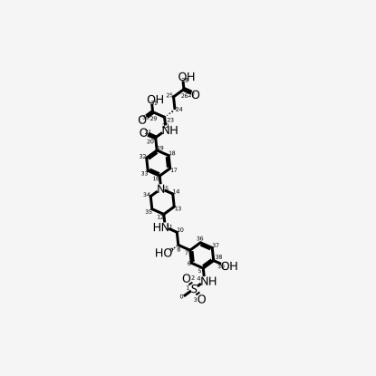 CS(=O)(=O)Nc1cc([C@H](O)CNC2CCN(c3ccc(C(=O)N[C@@H](CCC(=O)O)C(=O)O)cc3)CC2)ccc1O